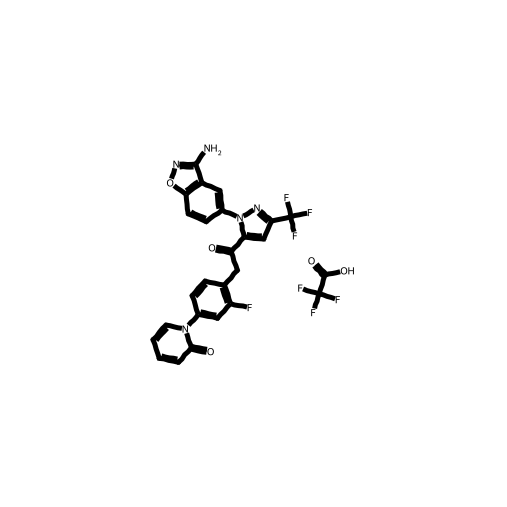 Nc1noc2ccc(-n3nc(C(F)(F)F)cc3C(=O)Cc3ccc(-n4ccccc4=O)cc3F)cc12.O=C(O)C(F)(F)F